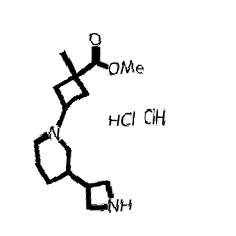 COC(=O)C1(C)CC(N2CCCC(C3CNC3)C2)C1.Cl.Cl